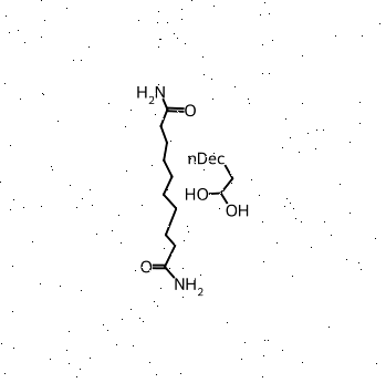 CCCCCCCCCCCC(O)O.NC(=O)CCCCCCCCC(N)=O